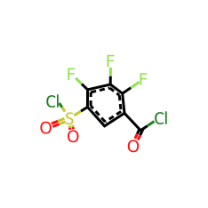 O=C(Cl)c1cc(S(=O)(=O)Cl)c(F)c(F)c1F